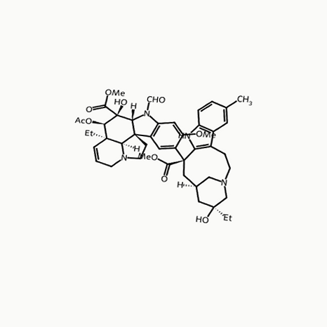 CC[C@]1(O)C[C@@H]2CN(CCc3c([nH]c4ccc(C)cc34)[C@@](C(=O)OC)(c3cc4c(cc3OC)N(C=O)[C@H]3[C@@](O)(C(=O)OC)[C@H](OC(C)=O)[C@]5(CC)C=CCN6CC[C@]43[C@@H]65)C2)C1